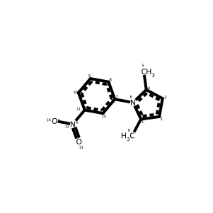 Cc1ccc(C)n1-c1cccc([N+](=O)[O-])c1